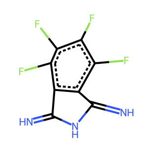 N=C1NC(=N)c2c(F)c(F)c(F)c(F)c21